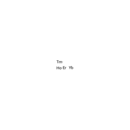 [Er].[Ho].[Tm].[Yb]